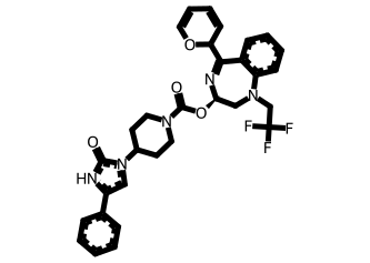 O=C(O[C@@H]1CN(CC(F)(F)F)c2ccccc2C(C2C=CC=CO2)=N1)N1CCC(n2cc(-c3ccccc3)[nH]c2=O)CC1